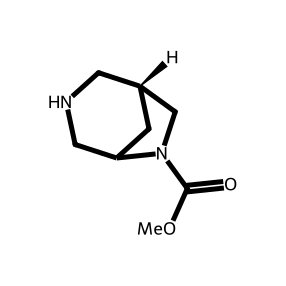 COC(=O)N1C[C@H]2CNCC1C2